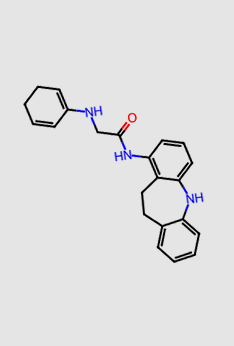 O=C(CNC1=CCCC=C1)Nc1cccc2c1CCc1ccccc1N2